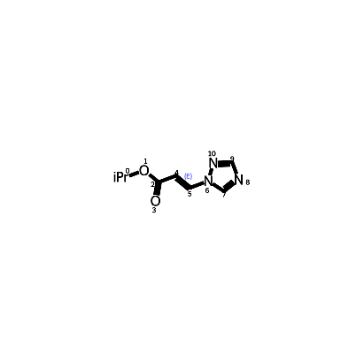 CC(C)OC(=O)/C=C/n1cncn1